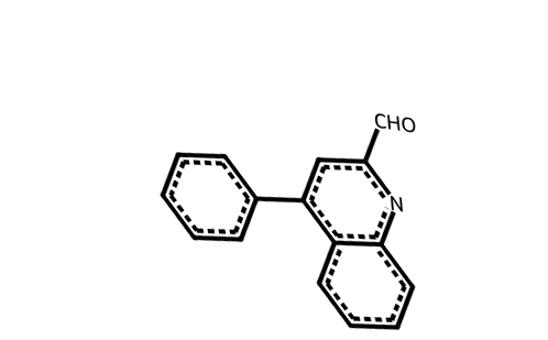 O=Cc1cc(-c2ccccc2)c2ccccc2n1